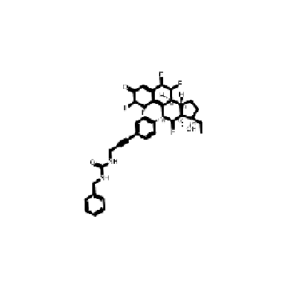 CC[C@]1(O)CC[C@H]2[C@H]3C(=C4C(=CC(=O)C(F)C4F)C(F)C3F)[C@@H](c3ccc(C#CCNC(=O)NCc4ccccc4)cc3)C(F)[C@@]21C